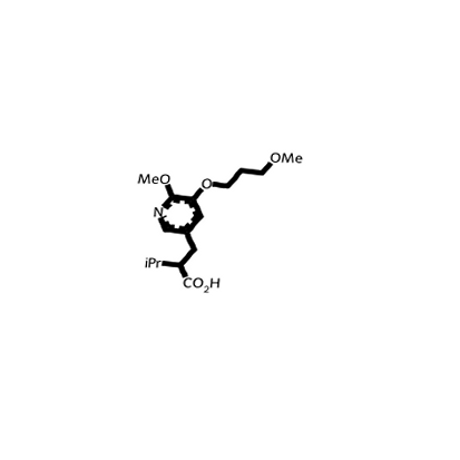 COCCCOc1cc(CC(C(=O)O)C(C)C)cnc1OC